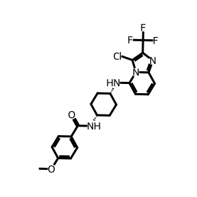 COc1ccc(C(=O)N[C@H]2CC[C@@H](Nc3cccc4nc(C(F)(F)F)c(Cl)n34)CC2)cc1